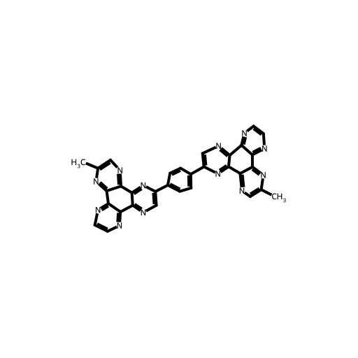 Cc1cnc2c(n1)c1nccnc1c1ncc(-c3ccc(-c4cnc5c6nccnc6c6nc(C)cnc6c5n4)cc3)nc12